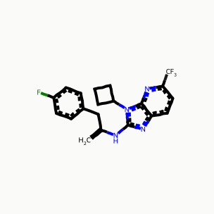 C=C(Cc1ccc(F)cc1)Nc1nc2ccc(C(F)(F)F)nc2n1C1CCC1